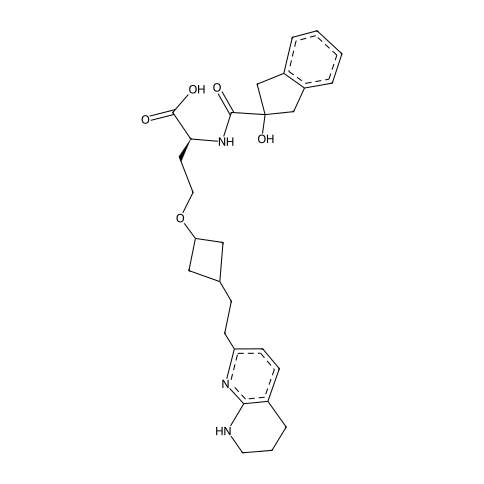 O=C(O)[C@H](CCOC1CC(CCc2ccc3c(n2)NCCC3)C1)NC(=O)C1(O)Cc2ccccc2C1